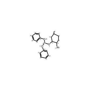 CC1CCC(C(C)C)C(OP(Oc2ccccc2)Oc2ccccc2)C1